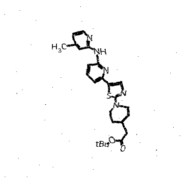 Cc1ccnc(Nc2cccc(-c3cnc(N4CCC(CC(=O)OC(C)(C)C)CC4)s3)n2)c1